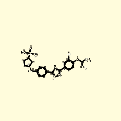 CC(C)Oc1ccc(-c2noc(-c3ccc(N[C@H]4CCC(P(=O)(O)O)C4)cc3)n2)cc1Cl